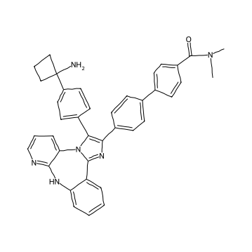 CN(C)C(=O)c1ccc(-c2ccc(-c3nc4n(c3-c3ccc(C5(N)CCC5)cc3)-c3cccnc3Nc3ccccc3-4)cc2)cc1